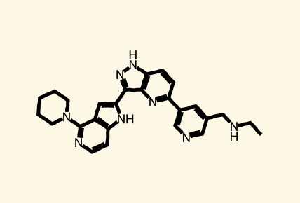 CCNCc1cncc(-c2ccc3[nH]nc(-c4cc5c(N6CCCCC6)nccc5[nH]4)c3n2)c1